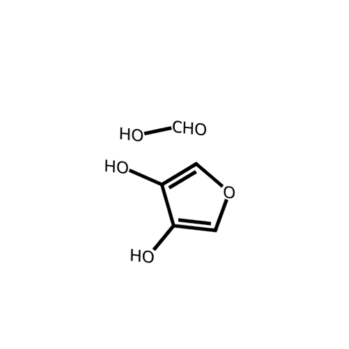 O=CO.Oc1cocc1O